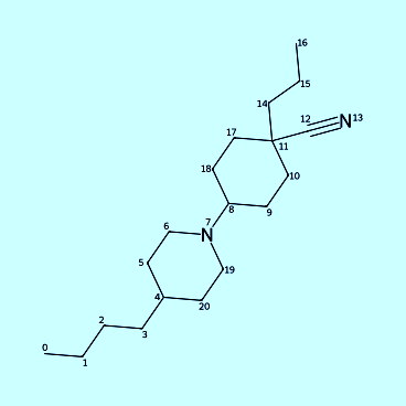 CCCCC1CCN(C2CCC(C#N)(CCC)CC2)CC1